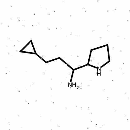 NC(CCC1CC1)C1CCCN1